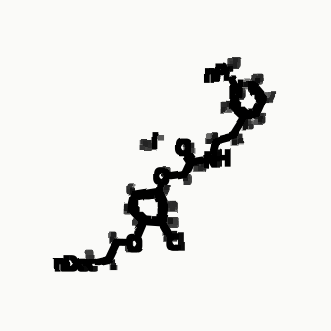 CCCCCCCCCCCCOc1ccc(OCC(=O)NCCc2ccc[n+](CCC)c2)cc1Cl.[I-]